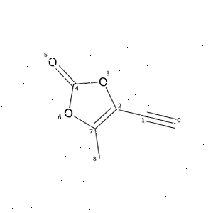 C#Cc1oc(=O)oc1C